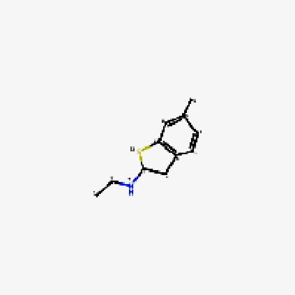 CCNC1Cc2ccc(C)cc2S1